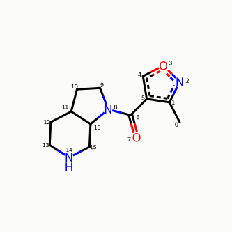 Cc1nocc1C(=O)N1CCC2CCNCC21